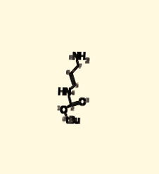 CC(C)(C)OC(=O)NC=CCN